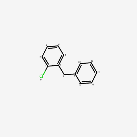 Clc1ccccc1Cc1[c]cccc1